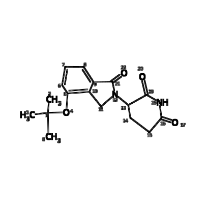 CC(C)(C)Oc1cccc2c1CN(C1CCC(=O)NC1=O)C2=O